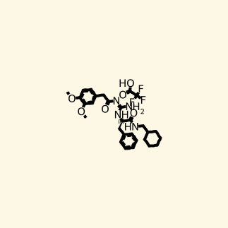 COc1ccc(CC(=O)N=C(N)N[C@H](Cc2ccccc2)C(=O)NCC2CCCCC2)cc1OC.O=C(O)C(F)(F)F